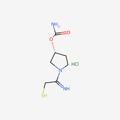 Cl.N=C(CS)N1CC[C@@H](OC(N)=O)C1